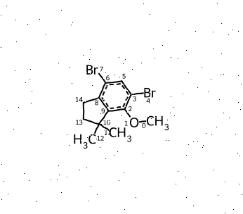 COc1c(Br)cc(Br)c2c1C(C)(C)CC2